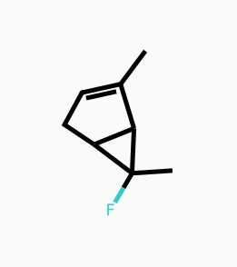 CC1=CCC2C1C2(C)F